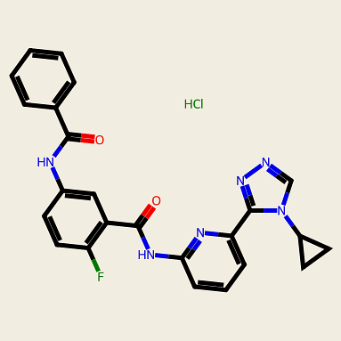 Cl.O=C(Nc1ccc(F)c(C(=O)Nc2cccc(-c3nncn3C3CC3)n2)c1)c1ccccc1